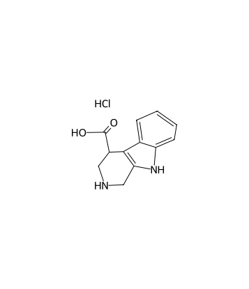 Cl.O=C(O)C1CNCc2[nH]c3ccccc3c21